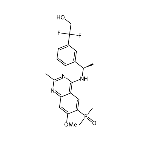 COc1cc2nc(C)nc(N[C@H](C)c3cccc(C(F)(F)CO)c3)c2cc1P(C)(C)=O